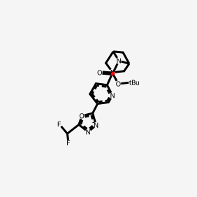 CC(C)(C)OC(=O)N1C2CC1CN(c1ccc(-c3nnc(C(F)F)o3)cn1)C2